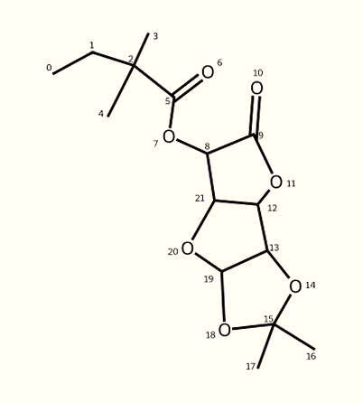 CCC(C)(C)C(=O)OC1C(=O)OC2C3OC(C)(C)OC3OC12